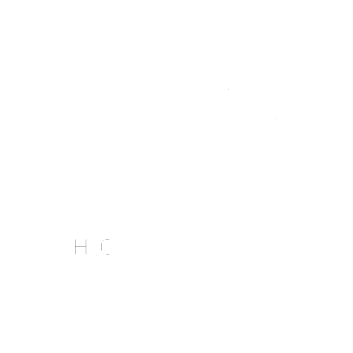 CC[C]=C1CC1